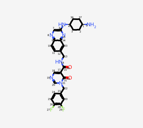 N[C@H]1CC[C@@H](Nc2cnc3ccc(CNC(=O)c4cncn(Cc5ccc(F)c(F)c5)c4=O)cc3n2)CC1